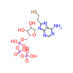 Nc1ncnc2c1nc(CCS)n2[C@@H]1O[C@H](COP(=O)(O)OP(=O)(O)OP(=O)(O)O)C(O)C1O